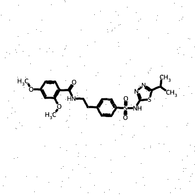 COc1ccc(C(=O)NCCc2ccc(S(=O)(=O)Nc3nnc(C(C)C)s3)cc2)c(OC)c1